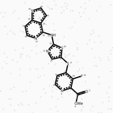 COC(=O)c1nccc(Sc2cnc(Nc3nccc4sccc34)s2)c1F